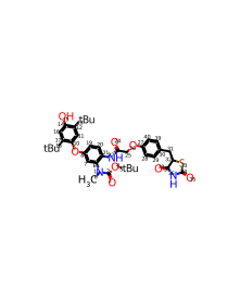 CN(C(=O)OC(C)(C)C)c1cc(Oc2cc(C(C)(C)C)c(O)cc2C(C)(C)C)ccc1NC(=O)COc1ccc(CC2SC(=O)NC2=O)cc1